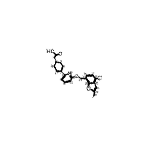 O=C(O)C[C@H]1CC[C@@H](c2cccc(OCc3ccc(Cl)c4cc(F)oc34)n2)CC1